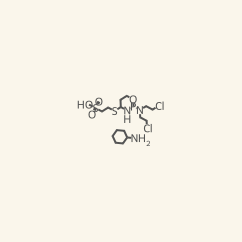 NC1CCCCC1.O=S(=O)(O)CCSC1CCOP(N(CCCl)CCCl)N1